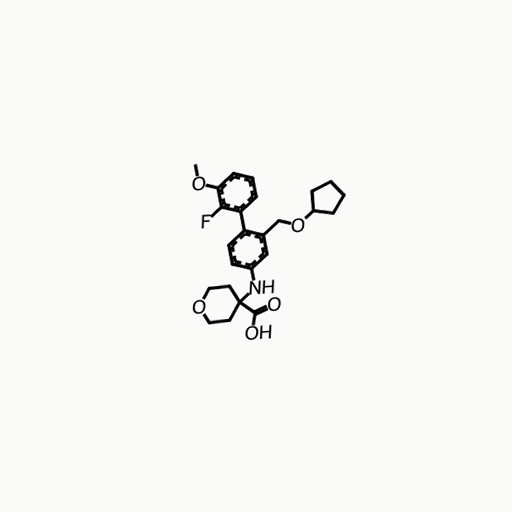 COc1cccc(-c2ccc(NC3(C(=O)O)CCOCC3)cc2COC2CCCC2)c1F